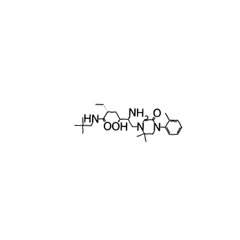 CC[C@H](C[C@H](O)[C@@H](N)CN1CC(=O)N(c2ccccc2C)CC1(C)C)C(=O)NCC(C)(C)C